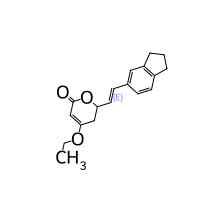 CCOC1=CC(=O)OC(/C=C/c2ccc3c(c2)CCC3)C1